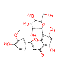 COc1cc(-c2cc(=O)c3c(O)cc(O)c(C4OC(CO)C(O)C(O)C4O)c3o2)ccc1O